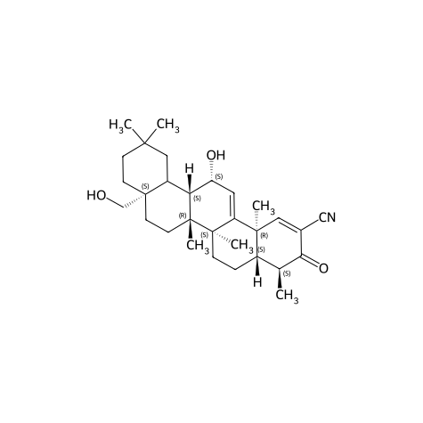 C[C@@H]1C(=O)C(C#N)=C[C@]2(C)C3=C[C@@H](O)[C@H]4C5CC(C)(C)CC[C@]5(CO)CC[C@@]4(C)[C@]3(C)CC[C@@H]12